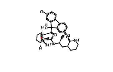 N#C[C@@H](C[C@@H]1CCCNC1=O)NC(=O)[C@@H]1[C@H]2CC[C@H](CC2(F)F)N1C(=O)C1(O)c2cc(Cl)ccc2-c2ccc(Cl)cc21